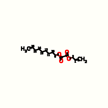 C=CCOC(=O)C(=O)OCCCCCCCCC